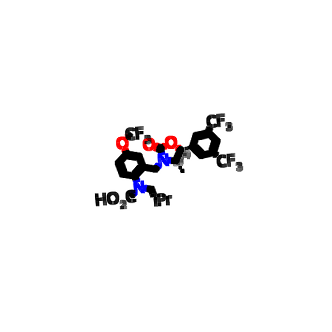 CC(C)CN(C(=O)O)c1ccc(OC(F)(F)F)cc1CN1C(=O)O[C@H](c2cc(C(F)(F)F)cc(C(F)(F)F)c2)[C@@H]1C